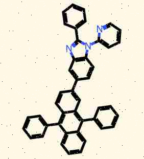 c1ccc(-c2c3ccccc3c(-c3ccccc3)c3cc(-c4ccc5c(c4)nc(-c4ccccc4)n5-c4ccccn4)ccc23)cc1